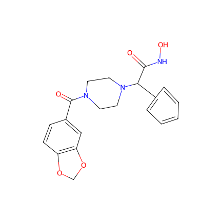 O=C(NO)C(c1ccccc1)N1CCN(C(=O)c2ccc3c(c2)OCO3)CC1